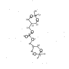 CC1(C)OCC(COC(=O)OCC2COC(C)(C)OC2)CO1